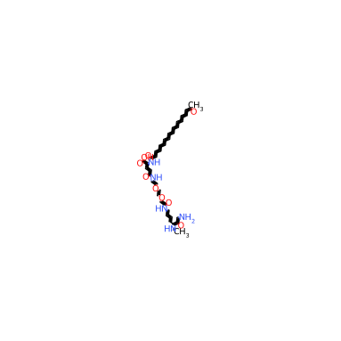 CN[C@@H](CCCCNC(=O)COCCOCCNC(=O)CCC(NC(=O)CCCCCCCCCCCCCCCCC(C)=O)C(=O)O)C(=O)CN